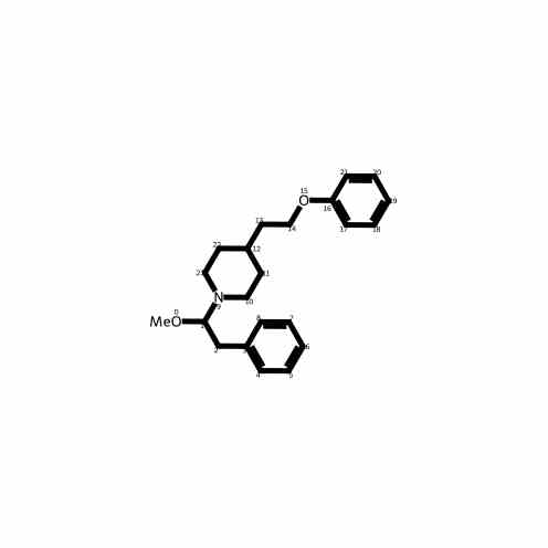 COC(Cc1ccccc1)N1CCC(CCOc2ccccc2)CC1